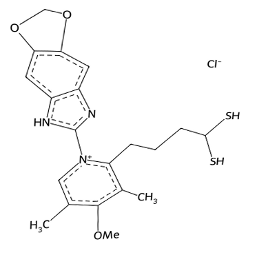 COc1c(C)c[n+](-c2nc3cc4c(cc3[nH]2)OCO4)c(CCCC(S)S)c1C.[Cl-]